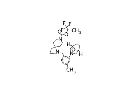 Cc1ccc(CN2CCCC23CCN(C(=O)OC(C)C(F)(F)F)CC3)c(N2C[C@H]3CC[C@@H](C2)O3)c1